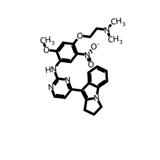 COc1cc(OCCN(C)C)c([N+](=O)[O-])cc1Nc1nccc(-c2c3n(c4ccccc24)CCC3)n1